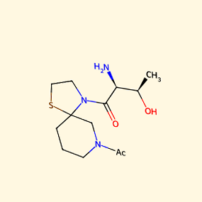 CC(=O)N1CCCC2(C1)SCCN2C(=O)[C@@H](N)[C@@H](C)O